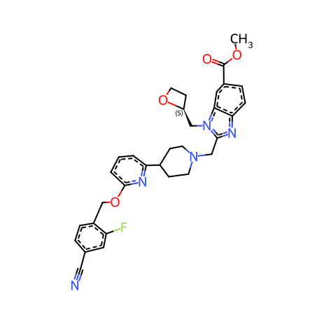 COC(=O)c1ccc2nc(CN3CCC(c4cccc(OCc5ccc(C#N)cc5F)n4)CC3)n(C[C@@H]3CCO3)c2c1